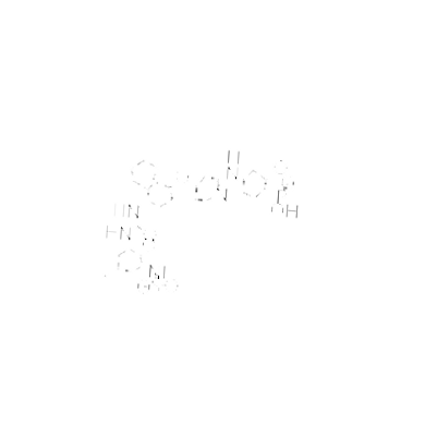 CCS(=O)(=O)Nc1cc(C(C)(C)C)cc(NC(=O)Nc2ccc(Oc3ccnc(Nc4ccc(P(C)(=O)O)c(OC)c4)c3)c3ccccc23)c1OC